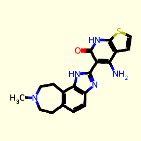 CN1CCc2ccc3nc(-c4c(N)c5ccsc5[nH]c4=O)[nH]c3c2CC1